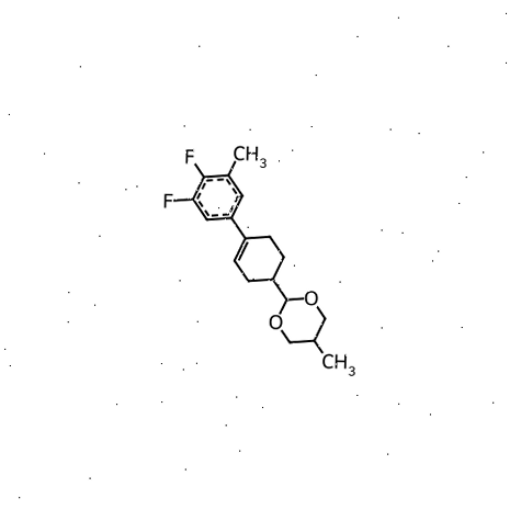 Cc1cc(C2=CCC(C3OCC(C)CO3)CC2)cc(F)c1F